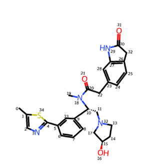 Cc1cnc(-c2cccc([C@@H](CN3CC[C@@H](O)C3)N(C)C(=O)Cc3ccc4c(c3)NC(=O)C4)c2)s1